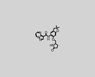 CC1(C)Cc2cc(NC(=O)c3cnn4cccnc34)c(OCC3CCC(=O)N3)cc2O1